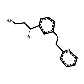 NCC[C@@H](O)c1cccc(OCc2ccccn2)c1